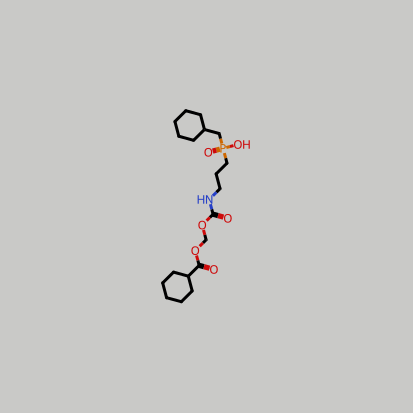 O=C(NCCCP(=O)(O)CC1CCCCC1)OCOC(=O)C1CCCCC1